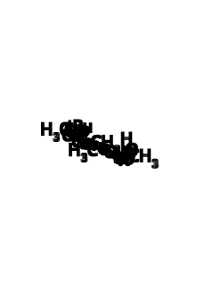 CC(C)(c1ccc(OCc2ccnc(NS(C)(=O)=O)n2)cc1)c1ccc(OC(CO[Si](C)(C)C(C)(C)C)C2CCCCC2)cc1